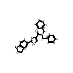 O=C(c1csc(-c2ccc3c(c2)CCO3)n1)N(Cc1ccccc1)Cc1ccccc1